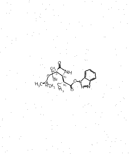 C[C@@H](C(=O)On1nnc2ccccc21)[C@H]1NC(=O)[C@@H]1[C@@](C)(O[SiH](C)C)C(C)(C)C